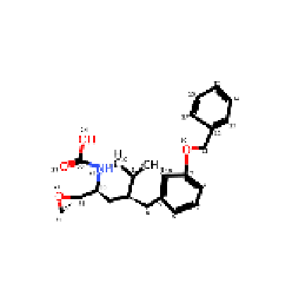 CC(C)[C@@H](Cc1cccc(OCc2ccccc2)c1)C[C@H](NC(=O)O)[C@@H]1CO1